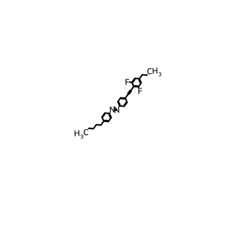 CCCCCc1ccc(N=Nc2ccc(C#Cc3c(F)cc(CCC)cc3F)cc2)cc1